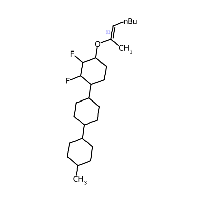 CCCC/C=C(\C)OC1CCC(C2CCC(C3CCC(C)CC3)CC2)C(F)C1F